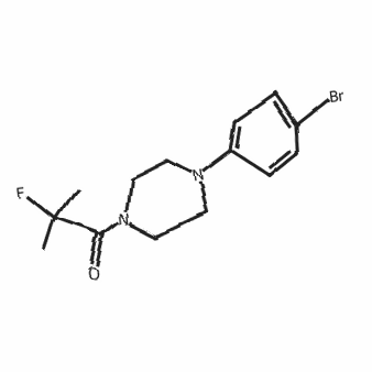 CC(C)(F)C(=O)N1CCN(c2ccc(Br)cc2)CC1